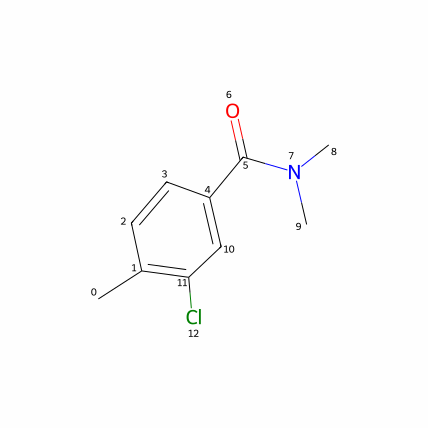 Cc1ccc(C(=O)N(C)C)cc1Cl